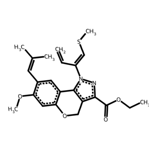 C=C/C(=C\SC)n1nc(C(=O)OCC)c2c1-c1cc(C=C(C)C)c(OC)cc1OC2